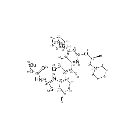 C[C@@H](CN1CCCCC1)Oc1nc(N2CC3CC(C2)N3C(=O)O)c2cc(Cl)c(-c3ccc(F)c4sc(NC(=O)OC(C)(C)C)nc34)c(F)c2n1